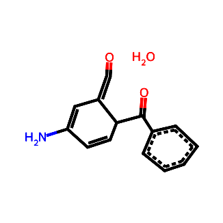 NC1=CC(=C=O)C(C(=O)c2ccccc2)C=C1.O